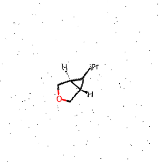 CC(C)C1[C@@H]2COC[C@@H]12